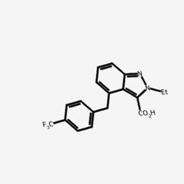 CCn1nc2cccc(Cc3ccc(C(F)(F)F)cc3)c2c1C(=O)O